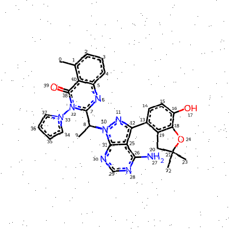 Cc1cccc2nc(C(C)n3nc(-c4ccc(O)c5c4CC(C)(C)O5)c4c(N)ncnc43)n(-n3cccc3)c(=O)c12